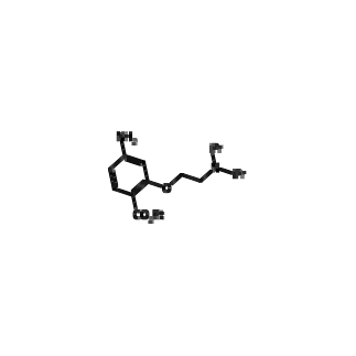 CCOC(=O)c1ccc(N)cc1OCCN(C(C)C)C(C)C